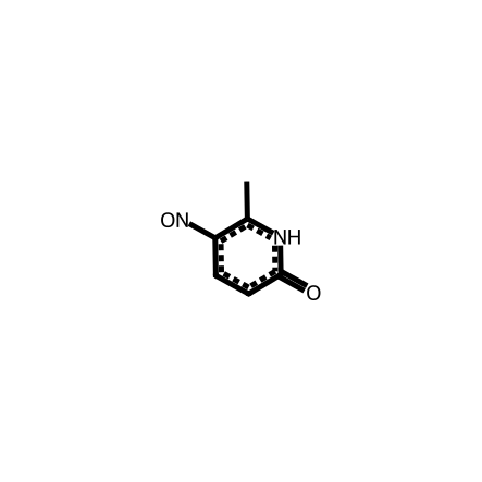 Cc1[nH]c(=O)ccc1N=O